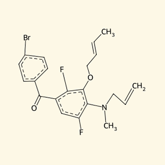 C=CCN(C)c1c(F)cc(C(=O)c2ccc(Br)cc2)c(F)c1OCC=CC